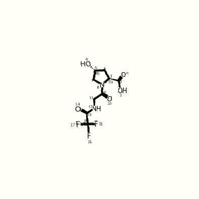 O=C(O)[C@@H]1C[C@@H](O)CN1C(=O)CNC(=O)C(F)(F)F